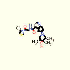 C[C@@H]1CN(c2ccc3nccc(C(=O)NCC(=O)N4CSC[C@H]4C#N)c3c2)C[C@H](C)C1(C)O